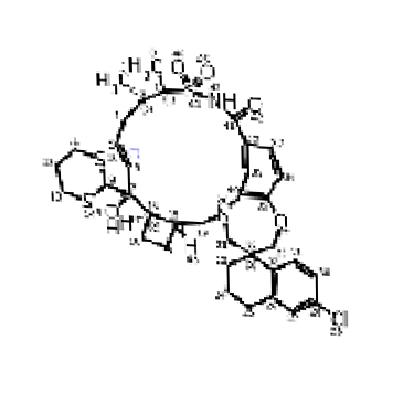 C[C@@H]1[C@@H](C)C/C=C/[C@@](O)(C2SCCCS2)[C@@H]2CC[C@H]2CN2C[C@@]3(CCCc4cc(Cl)ccc43)COc3ccc(cc32)C(=O)NS1(=O)=O